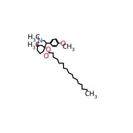 CCCCCCCCCCCCCCCCC(=O)OC1(C(CN(C)C)c2ccc(OC)cc2)CCCCC1